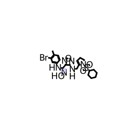 Cc1ccc(N/C(=N\O)c2nonc2NCC2=CCCN2S(=O)(=O)C2CCCCC2)cc1Br